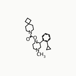 CN1CCN(OC(=O)N2CCC3(CCC3)CC2)C(c2ccccc2C2CC2)C1